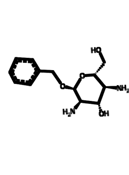 N[C@H]1[C@@H](OCc2ccccc2)O[C@H](CO)[C@@H](N)[C@@H]1O